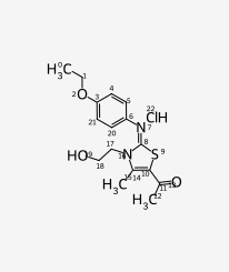 CCOc1ccc(/N=c2/sc(C(C)=O)c(C)n2CCO)cc1.Cl